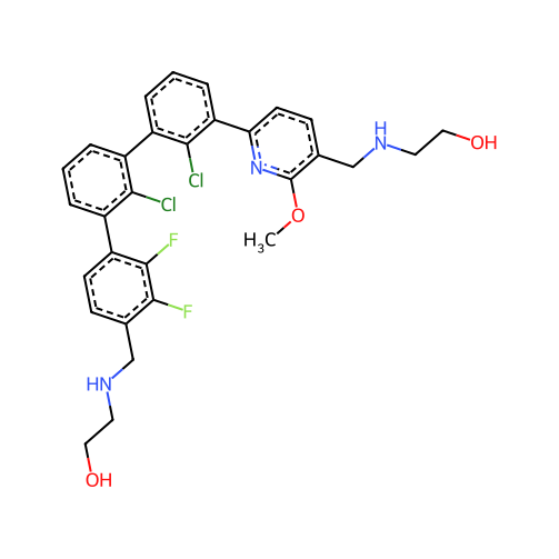 COc1nc(-c2cccc(-c3cccc(-c4ccc(CNCCO)c(F)c4F)c3Cl)c2Cl)ccc1CNCCO